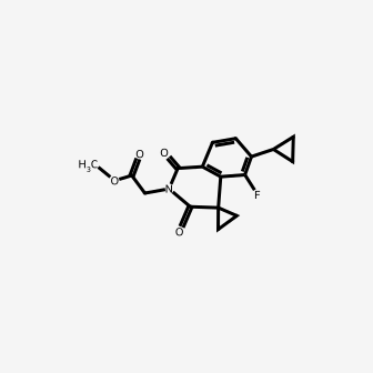 COC(=O)CN1C(=O)c2ccc(C3CC3)c(F)c2C2(CC2)C1=O